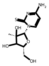 C[C@@]1(O)C(O)[C@@H](CO)O[C@H]1n1ccc(N)nc1=S